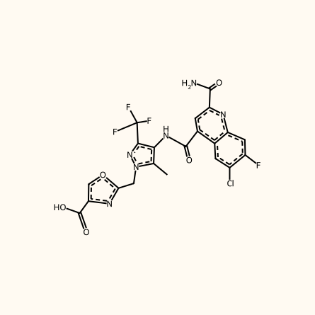 Cc1c(NC(=O)c2cc(C(N)=O)nc3cc(F)c(Cl)cc23)c(C(F)(F)F)nn1Cc1nc(C(=O)O)co1